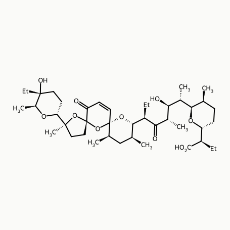 CC[C@@H](C(=O)[C@@H](C)[C@@H](O)[C@H](C)[C@@H]1O[C@@H]([C@@H](CC)C(=O)O)CC[C@@H]1C)[C@H]1O[C@]2(C=CC(=O)[C@]3(CC[C@@](C)([C@H]4CC[C@](O)(CC)[C@H](C)O4)O3)O2)[C@H](C)C[C@@H]1C